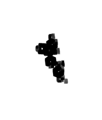 O=C(Nc1cnc(Cl)cc1C1(O)CCOCC1)c1ccnc(Nc2ccc(C(F)(F)F)cn2)c1